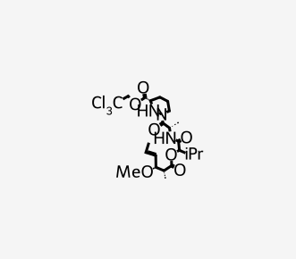 C/C=C/[C@@H](OC)[C@@H](C)C(=O)OC(C(=O)N[C@@H](C)C(=O)N1CCC[C@@H](C(=O)OCC(Cl)(Cl)Cl)N1)C(C)C